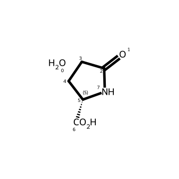 O.O=C1CC[C@@H](C(=O)O)N1